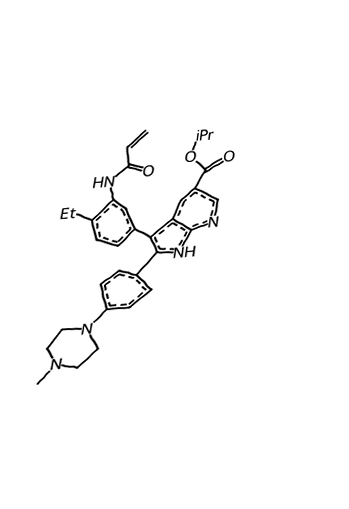 C=CC(=O)Nc1cc(-c2c(-c3ccc(N4CCN(C)CC4)cc3)[nH]c3ncc(C(=O)OC(C)C)cc23)ccc1CC